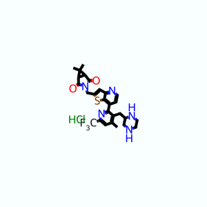 Cc1cc(C(F)(F)F)nc(-c2ccnc3cc(CN4C(=O)C5C(C4=O)C5(C)C)sc23)c1CC1CNCCN1.Cl